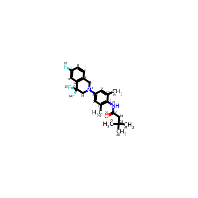 Cc1cc(N2Cc3ccc(F)cc3C(F)(F)C2)cc(C)c1NC(=O)CC(C)(C)C